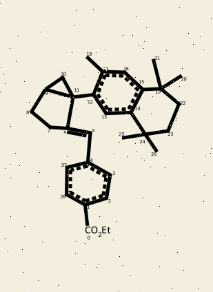 CCOC(=O)c1ccc(C=C2CCC3CC23c2cc3c(cc2C)C(C)(C)CCC3(C)C)cc1